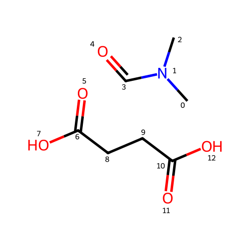 CN(C)C=O.O=C(O)CCC(=O)O